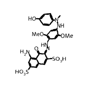 COc1cc(NN(C)c2ccc(O)cc2)c(OC)cc1N/N=C1\C(=O)c2c(N)cc(S(=O)(=O)O)cc2C=C1S(=O)(=O)O